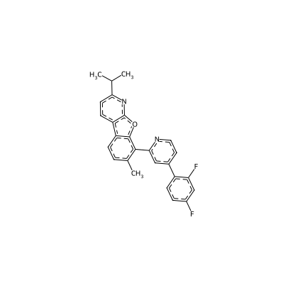 Cc1ccc2c(oc3nc(C(C)C)ccc32)c1-c1cc(-c2ccc(F)cc2F)ccn1